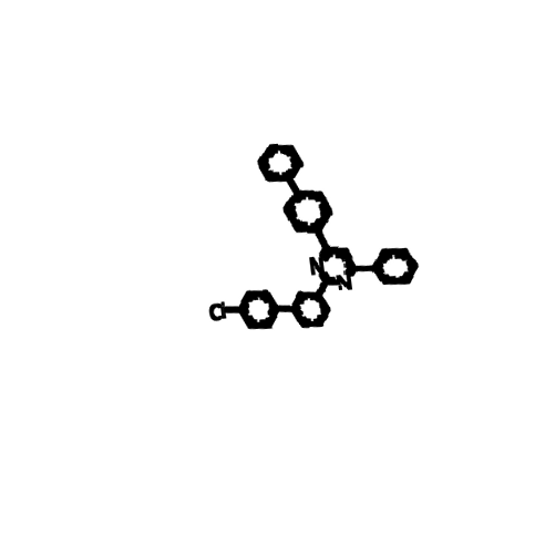 Clc1ccc(-c2cccc(-c3nc(-c4ccccc4)cc(-c4ccc(-c5ccccc5)cc4)n3)c2)cc1